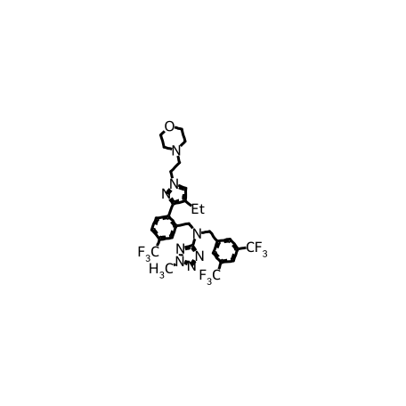 CCc1cn(CCN2CCOCC2)nc1-c1ccc(C(F)(F)F)cc1CN(Cc1cc(C(F)(F)F)cc(C(F)(F)F)c1)c1nnn(C)n1